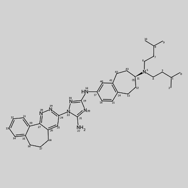 CC(C)CCN(CCC(C)C)[C@H]1CCc2ccc(Nc3nc(N)n(-c4cc5c(nn4)-c4ccccc4CCC5)n3)cc2CC1